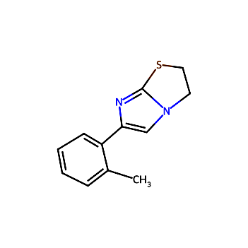 Cc1ccccc1-c1cn2c(n1)SCC2